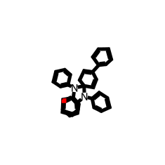 C1=CC(N(c2ccccc2)c2ccccc2)(N(c2ccccc2)c2ccccc2)CC=C1c1ccccc1